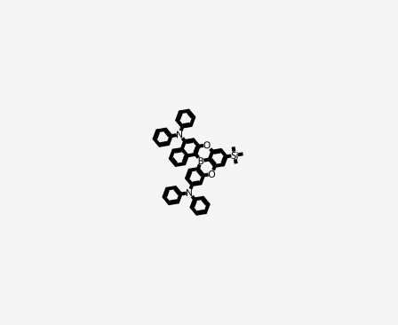 C[Si](C)(C)c1cc2c3c(c1)Oc1cc(N(c4ccccc4)c4ccccc4)c4ccccc4c1B3c1ccc(N(c3ccccc3)c3ccccc3)cc1O2